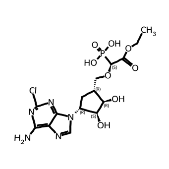 CCOC(=O)[C@@H](OC[C@H]1C[C@@H](n2cnc3c(N)nc(Cl)nc32)[C@H](O)[C@@H]1O)P(=O)(O)O